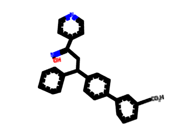 O=C(O)c1cccc(-c2ccc(C(C/C(=N\O)c3ccncc3)c3ccccc3)cc2)c1